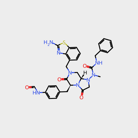 CN(C(=O)NCc1ccccc1)N1CC(=O)N2[C@@H](Cc3ccc(NC=O)cc3)C(=O)N(Cc3cccc4sc(N)nc34)C[C@@H]21